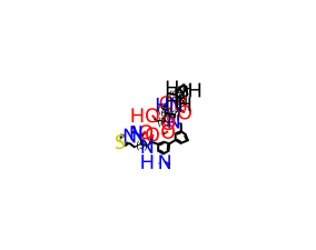 COc1c(CN2O[C@@H](CO)[C@@H]([C@H](C)O)[C@H]2C(=O)N[C@H]2C[C@H]3C[C@@H]([C@@H]2C)C3(C)C)cccc1-c1cc(C(=O)N[C@@H](Cc2cscn2)C(=O)N(C)C)cc(N(C)C)c1